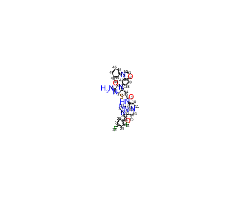 Nc1nc2sc(C(=O)N[C@@H]3CCN(CC4COC(Cn5cncn5)(c5ccc(F)cc5F)C4)C3)cc2n(-c2ccc3c(c2)N(c2ccccc2)CCO3)c1=O